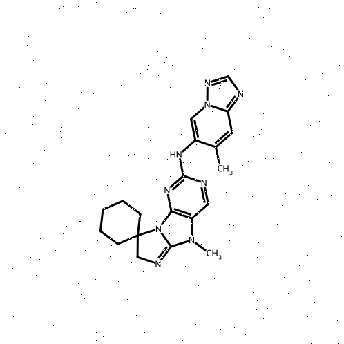 Cc1cc2ncnn2cc1Nc1ncc2c(n1)N1C(=NCC13CCCCC3)N2C